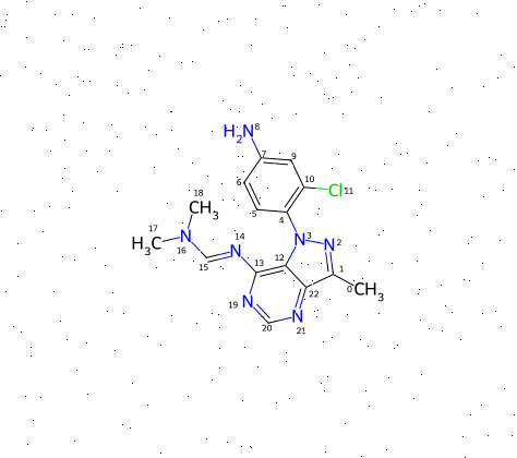 Cc1nn(-c2ccc(N)cc2Cl)c2c(N=CN(C)C)ncnc12